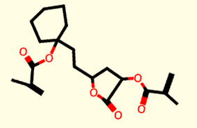 C=C(C)C(=O)OC1CC(CCC2(OC(=O)C(=C)C)CCCCC2)OC1=O